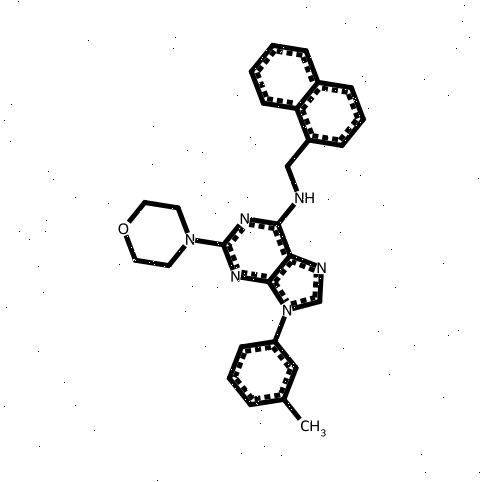 Cc1cccc(-n2cnc3c(NCc4cccc5ccccc45)nc(N4CCOCC4)nc32)c1